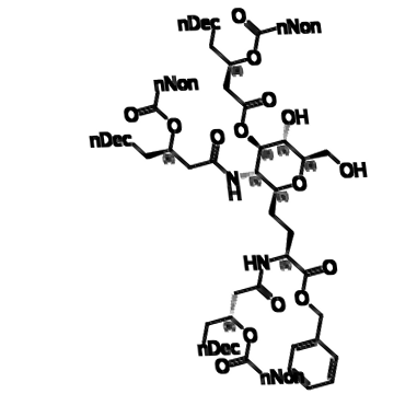 CCCCCCCCCCC[C@H](CC(=O)N[C@@H]1[C@@H](OC(=O)C[C@@H](CCCCCCCCCCC)OC(=O)CCCCCCCCC)[C@H](O)[C@@H](CO)O[C@H]1CC[C@H](NC(=O)C[C@@H](CCCCCCCCCCC)OC(=O)CCCCCCCCC)C(=O)OCc1ccccc1)OC(=O)CCCCCCCCC